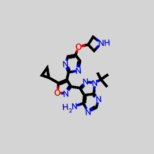 CC(C)(C)n1nc(-c2noc(C3CC3)c2-c2ncc(OC3CNC3)cn2)c2c(N)ncnc21